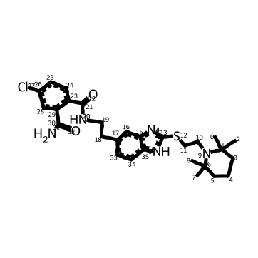 CC1(C)CCCC(C)(C)N1CCSc1nc2cc(CCNC(=O)c3ccc(Cl)cc3C(N)=O)ccc2[nH]1